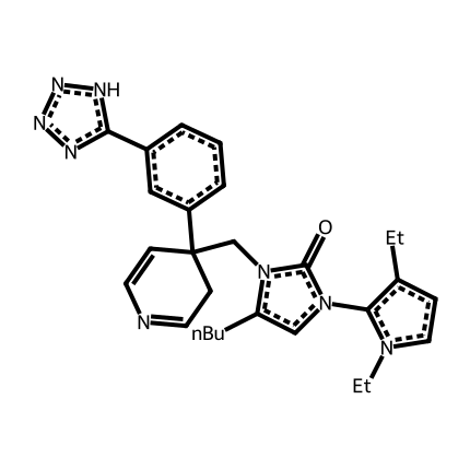 CCCCc1cn(-c2c(CC)ccn2CC)c(=O)n1CC1(c2cccc(-c3nnn[nH]3)c2)C=CN=CC1